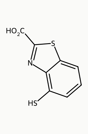 O=C(O)c1nc2c(S)cccc2s1